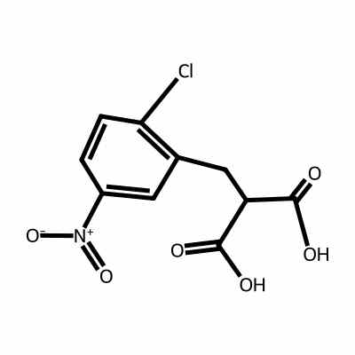 O=C(O)C(Cc1cc([N+](=O)[O-])ccc1Cl)C(=O)O